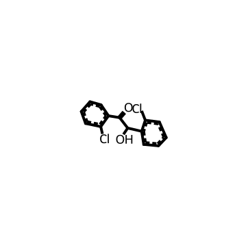 O=C(c1ccccc1Cl)C(O)c1ccccc1Cl